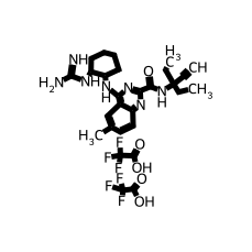 C#CC(CC)(CC)NC(=O)c1nc(NC2CCCCC2NC(=N)N)c2cc(C)ccc2n1.O=C(O)C(F)(F)F.O=C(O)C(F)(F)F